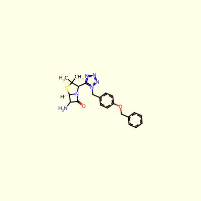 CC1(C)S[C@@H]2C(N)C(=O)N2C1c1nnnn1Cc1ccc(OCc2ccccc2)cc1